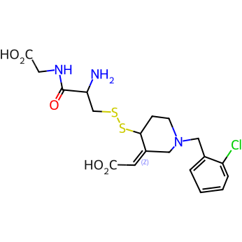 NC(CSSC1CCN(Cc2ccccc2Cl)C/C1=C/C(=O)O)C(=O)NCC(=O)O